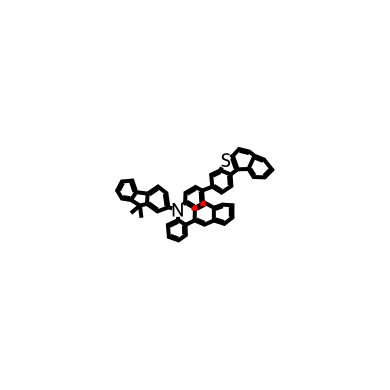 CC1(C)c2ccccc2-c2ccc(N(c3ccc(-c4ccc5c(c4)sc4ccc6ccccc6c45)cc3)c3ccccc3-c3ccc4ccccc4c3)cc21